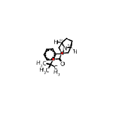 CC(C)(C)OC(=O)N1C[C@@H]2CC[C@@H](C1)N2Cc1ccccc1